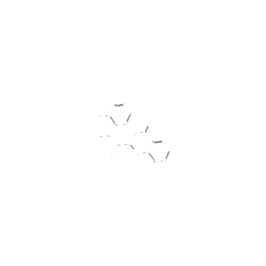 CCC(N)c1nc2c(F)cccc2c(=O)n1-c1cc(F)cc(F)c1